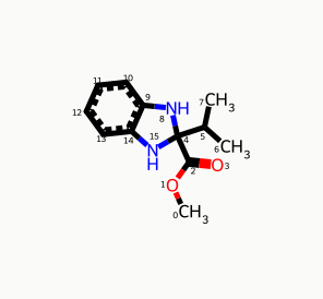 COC(=O)C1(C(C)C)Nc2ccccc2N1